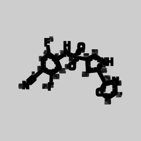 N#Cc1cc(F)c(NS(=O)(=O)c2c[nH]c(-c3ncco3)c2)cc1F